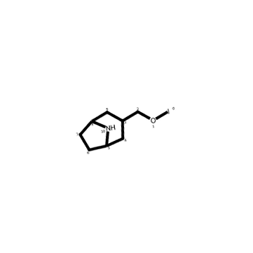 IOCC1CC2CCC(C1)N2